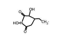 [CH2]CC1CC(=O)N(O)C(=O)C1O